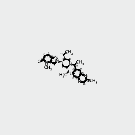 CC[C@@H]1CN(n2cc3c(ccc(=O)n3C)n2)[C@@H](CC)CN1C(C)c1ccc2ncc(C)nc2c1